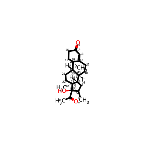 CC(=O)[C@@]1(O)C(C)C[C@H]2[C@@H]3CCC4=CC(=O)CC[C@]4(C)[C@H]3CC[C@@]21C